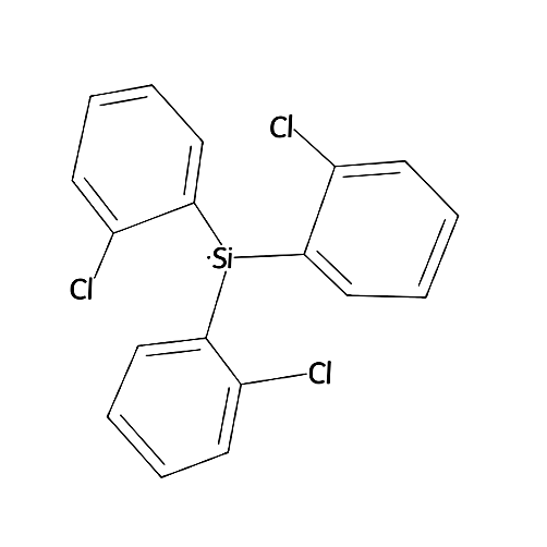 Clc1ccccc1[Si](c1ccccc1Cl)c1ccccc1Cl